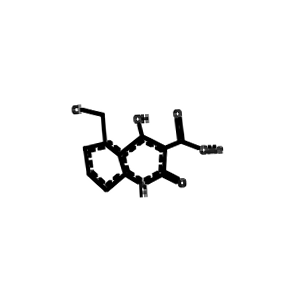 COC(=O)c1c(O)c2c(CCl)cccc2[nH]c1=O